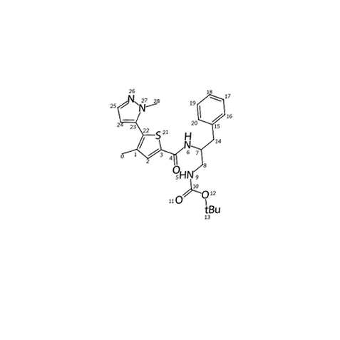 Cc1cc(C(=O)NC(CNC(=O)OC(C)(C)C)Cc2ccccc2)sc1-c1ccnn1C